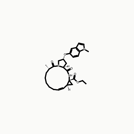 CCOC(=O)[C@@]12C[C@H]1/C=C\CCCCC[C@H](C)C(=O)N1C[C@H](Oc3ccc4c(ccn4C)c3)C[C@H]1C(=O)N2